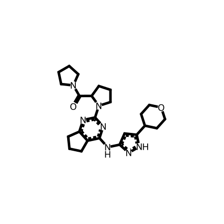 O=C(C1CCCN1c1nc2c(c(Nc3cc(C4CCOCC4)[nH]n3)n1)CCC2)N1CCCC1